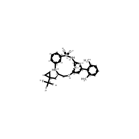 Cc1cccc(C)c1-c1cc2nc(n1)NS(=O)(=O)c1cccc(c1)N[C@H](CC1(C(F)(F)F)CC1)CO2